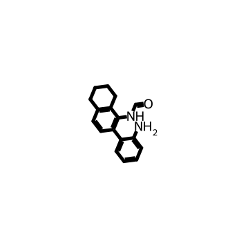 Nc1ccccc1-c1ccc2c(c1NC=O)CCCC2